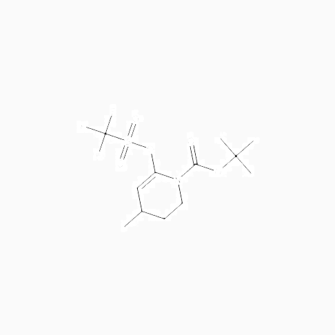 CC1C=C(OS(=O)(=O)C(F)(F)F)N(C(=O)OC(C)(C)C)CC1